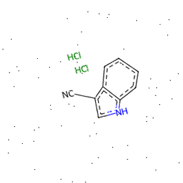 Cl.Cl.N#Cc1c[nH]c2ccccc12